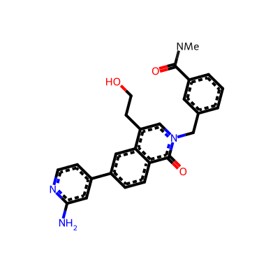 CNC(=O)c1cccc(Cn2cc(CCO)c3cc(-c4ccnc(N)c4)ccc3c2=O)c1